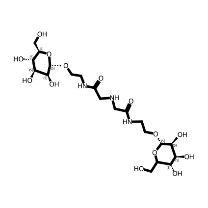 O=C(CNCC(=O)NCCO[C@H]1OC(CO)[C@@H](O)[C@H](O)[C@@H]1O)NCCO[C@H]1O[C@H](CO)[C@@H](O)[C@H](O)[C@@H]1O